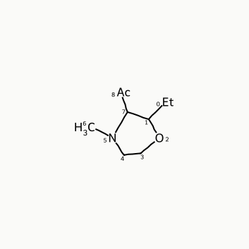 CCC1OCCN(C)C1C(C)=O